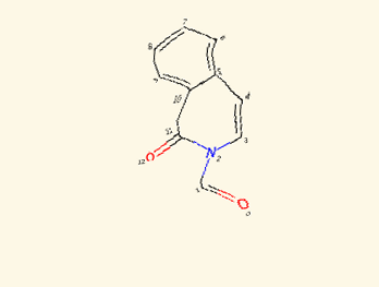 O=Cn1ccc2ccccc2c1=O